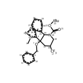 Cn1nncc1C1(OCc2ccccc2)CC(C(F)(F)F)CN(C(=O)OC(C)(C)C)C1c1ccccc1